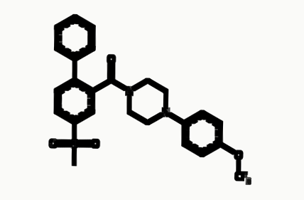 CS(=O)(=O)c1ccc(-c2ccccc2)c(C(=O)N2CCN(c3ccc(OC(F)(F)F)cc3)CC2)c1